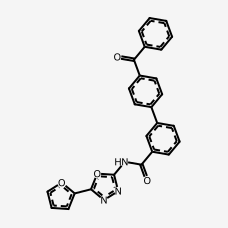 O=C(Nc1nnc(-c2ccco2)o1)c1cccc(-c2ccc(C(=O)c3ccccc3)cc2)c1